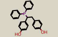 Oc1ccc(CC(c2ccc(O)cc2)P(c2ccccc2)c2ccccc2)cc1